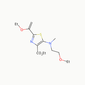 C=C(OCC)c1nc(C(=O)OCC)c(N(C)CCOCC)s1